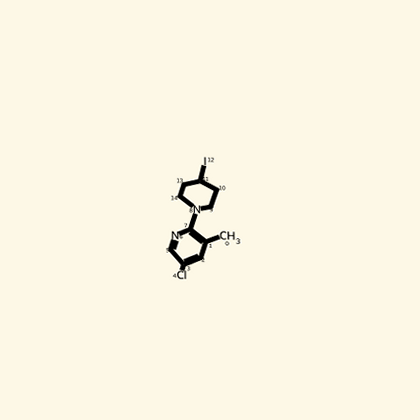 Cc1cc(Cl)cnc1N1CCC(I)CC1